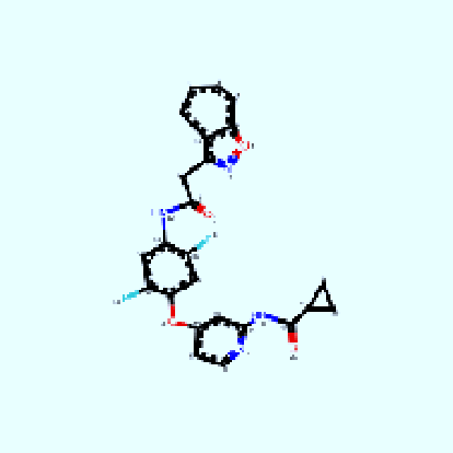 O=C(Cc1noc2ccccc12)Nc1cc(F)c(Oc2ccnc(NC(=O)C3CC3)c2)cc1F